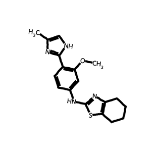 COc1cc(Nc2nc3c(s2)CCCC3)ccc1-c1nc(C)c[nH]1